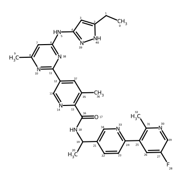 CCc1cc(Nc2cc(C)nc(-c3cnc(C(=O)NC(C)c4ccc(-c5cc(F)cnc5C)nc4)c(C)c3)n2)n[nH]1